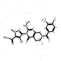 COC(=O)c1c(Br)c(-n2c(NC(C)C)nc3c(c2=O)C[C@@H](C)N(C(=O)c2ccc(Cl)c(C(F)(F)F)c2)C3)nn1C